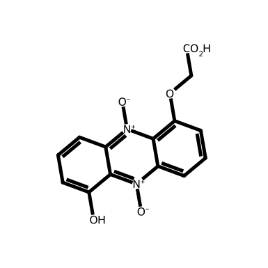 O=C(O)COc1cccc2c1[n+]([O-])c1cccc(O)c1[n+]2[O-]